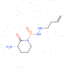 C=CCCNN[PH](=O)N1CCC[C@H](N)C1=O